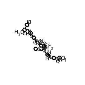 CC1(C)CCC(c2ccc(Cl)cc2)=C(CN2CCN(c3ccc(C(=O)NS(=O)(=O)c4ccc(N[C@H](CCN5C[C@H]6C[C@@H]5CN6Cc5ccc(C6CCC(=O)NC6=O)cc5)CSc5ccccc5)c(S(=O)(=O)C(F)(F)F)c4)cc3)CC2)C1